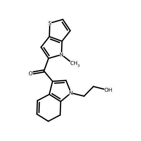 Cn1c(C(=O)c2cn(CCO)c3c2C=CCC3)cc2sccc21